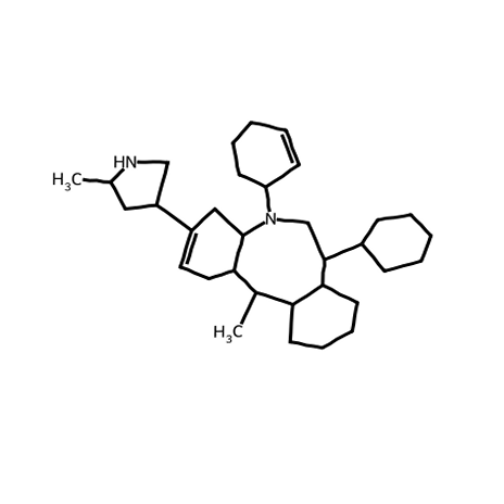 CC1CC(C2=CCC3C(C)C4CCCCC4C(C4CCCCC4)CN(C4C=CCCC4)C3C2)CN1